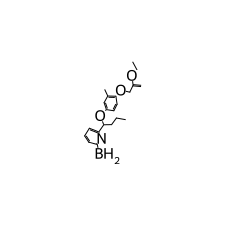 Bc1cccc(C(CCC)Oc2ccc(OCC(=C)OCC)c(C)c2)n1